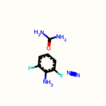 N#N.NC(N)=O.Nc1c(F)cccc1F